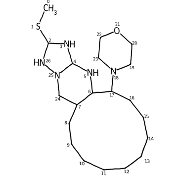 CSC1NC2NC3C(CCCCCCCCCC3N3CCOCC3)CN2N1